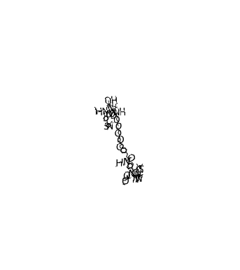 COC(=O)C[C@@H]1N=C(c2ccc(NC(=O)CCc3ccc(OCCOCCOCCOCCOCC(=O)N[C@H](C(=O)N4C[C@H](O)C[C@H]4C(=O)N[C@@H](C)c4ccc(-c5scnc5C)cc4)C(C)(C)C)cc3)cc2)c2c(sc(C)c2C)-n2c(C)nnc21